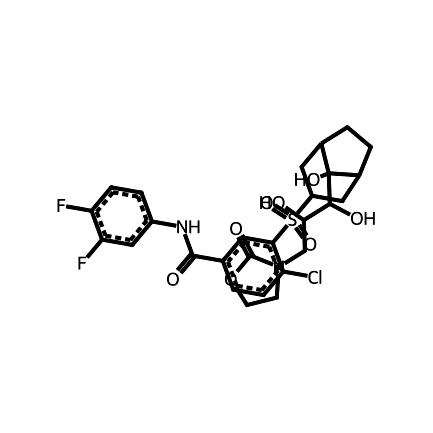 O=C(Nc1ccc(F)c(F)c1)c1ccc(Cl)c(S(=O)(=O)C2CC3CCC(C2)C3(O)C(O)C(O)CN2CCOC2=O)c1